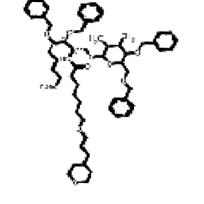 CCCCCCCCCCCCCC[C@@H](OCc1ccccc1)[C@@H](OCc1ccccc1)[C@H](COC1OC(COCc2ccccc2)C(OCc2ccccc2)C(C)C1C)NC(=O)CCCCCCOCCCC1CCOCC1